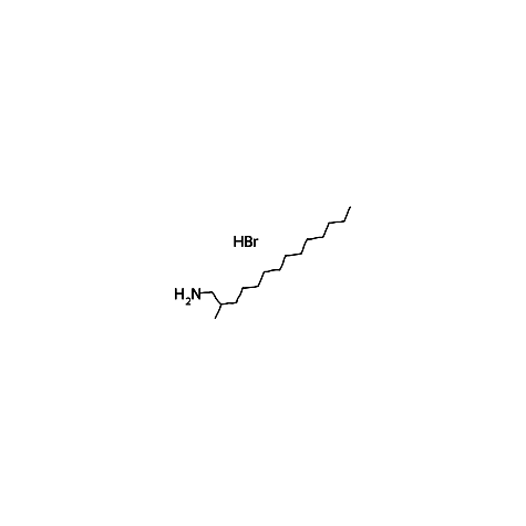 Br.CCCCCCCCCCCCC(C)CN